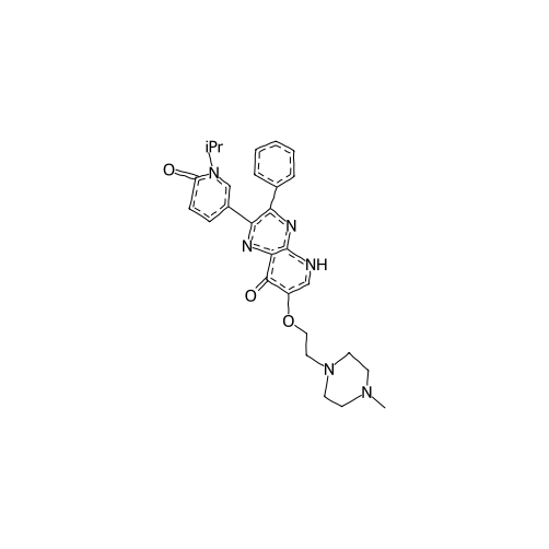 CC(C)n1cc(-c2nc3c(=O)c(OCCN4CCN(C)CC4)c[nH]c3nc2-c2ccccc2)ccc1=O